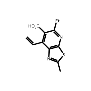 C=Cc1c(C(=O)O)c(CC)nc2sc(C)nc12